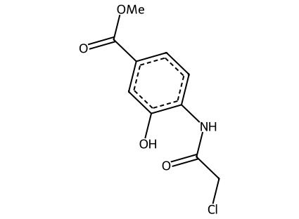 COC(=O)c1ccc(NC(=O)CCl)c(O)c1